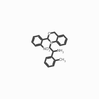 Cc1ccccc1C(N)CN1c2ccccc2COC1c1ccccc1[N+](=O)[O-]